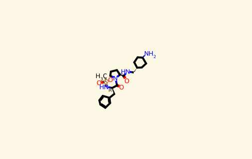 CS(=O)(=O)N[C@H](Cc1ccccc1)C(=O)N1CCC[C@H]1C(=O)NC[C@H]1CC[C@H](N)CC1